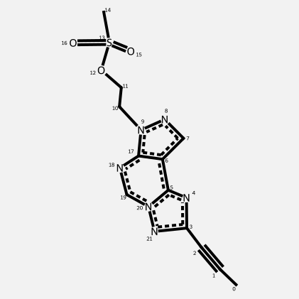 CC#Cc1nc2c3cnn(CCOS(C)(=O)=O)c3ncn2n1